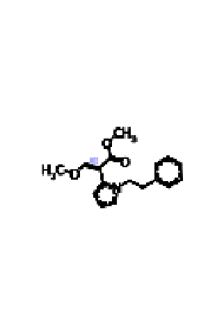 CO/C=C(/C(=O)OC)c1cccn1CCc1ccccc1